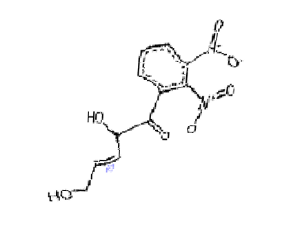 O=C(c1cccc([N+](=O)[O-])c1[N+](=O)[O-])C(O)/C=C/CO